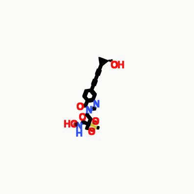 CC(CCn1cnc2cc(C#CC#CC3C[C@@H]3CO)ccc2c1=O)(C(=O)NO)S(C)(=O)=O